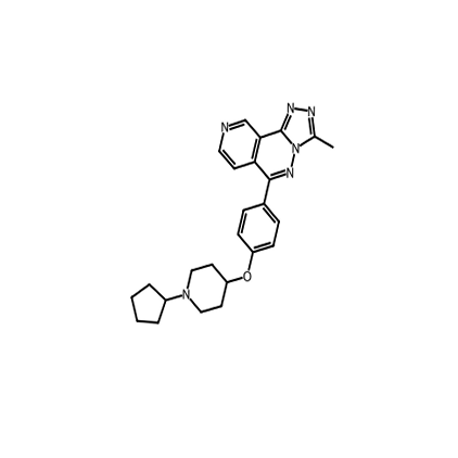 Cc1nnc2c3cnccc3c(-c3ccc(OC4CCN(C5CCCC5)CC4)cc3)nn12